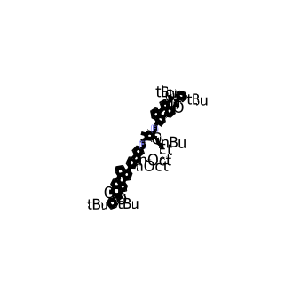 CCCCCCCCC1(CCCCCCCC)c2cc(/C=C/c3cc(OCC(CC)CCCC)c(/C=C/c4ccc5c6ccc7c8c(ccc(c9cccc4c95)c86)C(=O)N(c4cc(C(C)(C)C)ccc4C(C)(C)C)C7=O)cc3C)ccc2-c2ccc(-c3ccc4c5ccc6c7c(ccc(c8cccc3c84)c75)C(=O)N(c3cc(C(C)(C)C)ccc3C(C)(C)C)C6=O)cc21